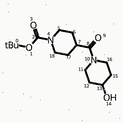 CC(C)(C)OC(=O)N1CCC(C(=O)N2CCC(O)CC2)CC1